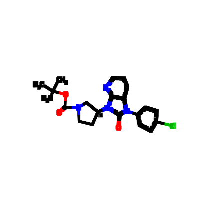 CC(C)(C)OC(=O)N1CC[C@H](n2c(=O)n(-c3ccc(Cl)cc3)c3cccnc32)C1